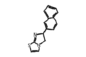 C1=CN2CC(c3ccc4ccccc4c3)N=C2S1